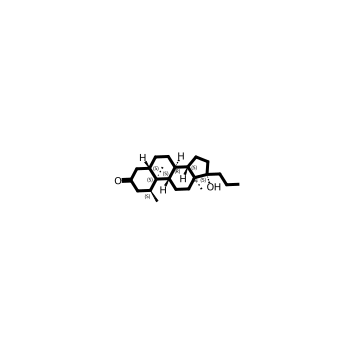 CCC[C@]1(O)CC[C@H]2[C@@H]3CC[C@H]4CC(=O)C[C@H](C)[C@]4(C)[C@H]3CC[C@@]21C